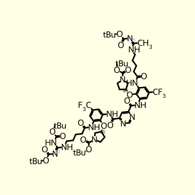 C/C(=N/C(=O)OC(C)(C)C)NCCCCC(=O)Nc1cc(C(F)(F)F)cc(NC(=O)c2cc(C(=O)Nc3cc(C(F)(F)F)cc(NC(=O)CCCCN/C(=N/C(=O)OC(C)(C)C)NC(=O)OC(C)(C)C)c3O[C@@H]3CCN(C(=O)OC(C)(C)C)C3)ncn2)c1O[C@@H]1CCN(C(=O)OC(C)(C)C)C1